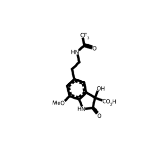 COc1cc(CCNC(=O)C(F)(F)F)cc2c1NC(=O)C2(O)C(=O)O